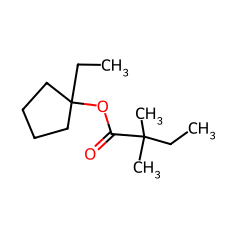 CCC1(OC(=O)C(C)(C)CC)CCCC1